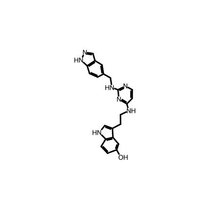 Oc1ccc2[nH]cc(CCNc3ccnc(NCc4ccc5[nH]ncc5c4)n3)c2c1